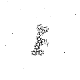 CC1(C)c2cc(-c3ccc(N(c4ccccc4)c4ccccc4)cc3)ccc2-c2cc3ccc(N(c4ccccc4)c4ccccc4)cc3cc21